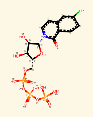 O=c1c2ccc(Cl)cc2ccn1[C@@H]1O[C@H](COP(=O)(O)OP(=O)(O)OP(=O)(O)O)[C@@H](O)[C@H]1O